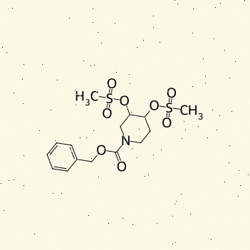 CS(=O)(=O)OC1CCN(C(=O)OCc2ccccc2)CC1OS(C)(=O)=O